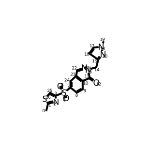 Cc1nc(S(=O)(=O)c2ccc3c(=O)n(Cc4ccn(C)n4)ncc3c2)cs1